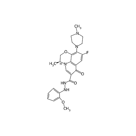 COc1ccccc1NNC(=O)c1cn2c3c(c(N4CCN(C)CC4)c(F)cc3c1=O)OC[C@@H]2C